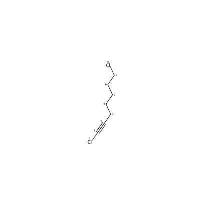 ClC#CCCCCCCl